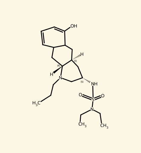 CCCN1C[C@@H](NS(=O)(=O)N(CC)CC)C[C@@H]2CC3C(O)=CC=CC3C[C@H]21